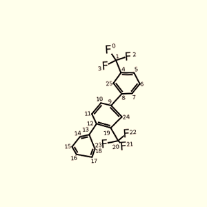 FC(F)(F)c1cccc(-c2ccc(-c3ccccc3)c(C(F)(F)F)c2)c1